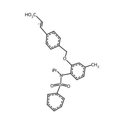 Cc1ccc(N(C(C)C)S(=O)(=O)c2ccccc2)c(OCc2ccc(/C=C/C(=O)O)cc2)c1